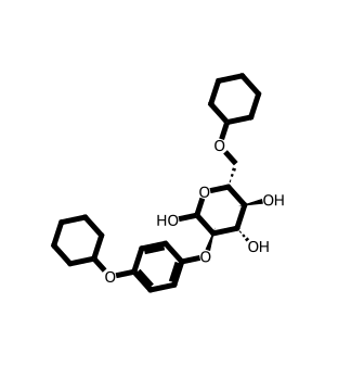 OC1O[C@H](COC2CCCCC2)[C@@H](O)[C@H](O)[C@H]1Oc1ccc(OC2CCCCC2)cc1